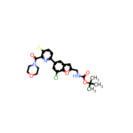 CC(C)(C)OC(=O)NCc1cc2cc(-c3ccc(F)c(C(=O)N4CCOCC4)n3)cc(Cl)c2o1